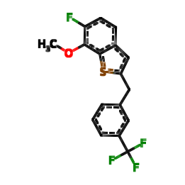 COc1c(F)ccc2cc(Cc3cccc(C(F)(F)F)c3)sc12